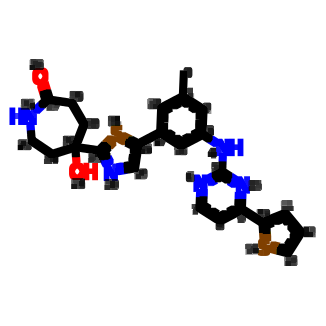 Cc1cc(Nc2nccc(-c3cccs3)n2)cc(-c2cnc(C3(O)CCNC(=O)CC3)s2)c1